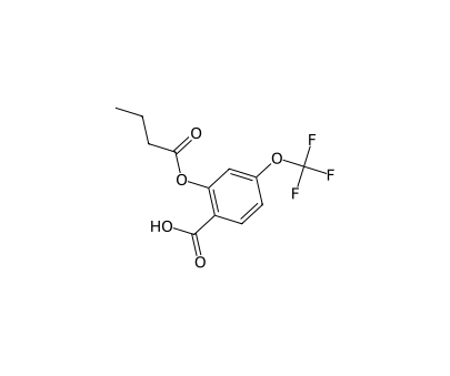 CCCC(=O)Oc1cc(OC(F)(F)F)ccc1C(=O)O